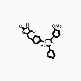 COc1cccc(C(COc2ccc(CC3SC(=O)NC3=O)cc2)OC(O)c2ccccc2)c1